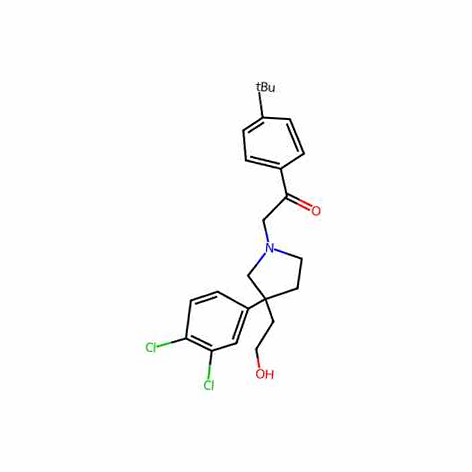 CC(C)(C)c1ccc(C(=O)CN2CCC(CCO)(c3ccc(Cl)c(Cl)c3)C2)cc1